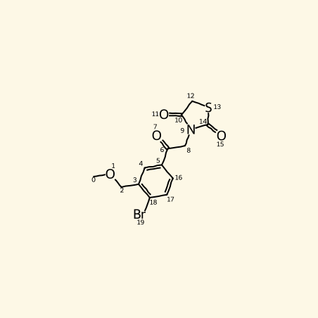 COCc1cc(C(=O)CN2C(=O)CSC2=O)ccc1Br